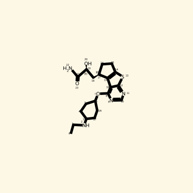 CCNC1CCC(Oc2ncnc3sc4c(c23)[C@@H](C[C@@H](O)C(N)=O)CC4)CC1